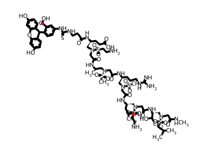 CNC(=O)CN(C[C@@H](NC(=O)CN(C[C@H](CC(C)C)NC(=O)CN(C[C@H](CCCNC(=N)N)NC(=O)CN(C[C@H](C)NC(=O)CN(C[C@H](CCC(=O)O)NC(=O)CCNC(=S)Nc1ccc(C2c3ccc(O)cc3Oc3cc(O)ccc32)c(C(=O)O)c1)S(=O)(=O)CCN)S(C)(=O)=O)S(C)(=O)=O)S(=O)(=O)CCN)C(C)O)S(=O)(=O)CC(C)C